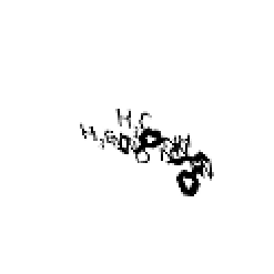 Cc1cc(Nc2nccc(-c3ccnn3-c3ccccc3)n2)cc(C(=O)N2CCN(C)CC2)c1